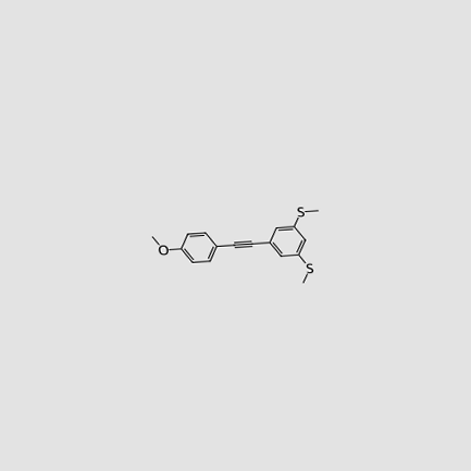 COc1ccc(C#Cc2cc(SC)cc(SC)c2)cc1